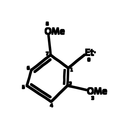 C[CH]c1c(OC)cccc1OC